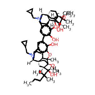 CCCC(C)(C)C(C)(O)[C@H]1C[C@@]23CC[C@]1(OC)[C@@]1(C)Oc4c(O)c(-c5cc6c7c(c5O)O[C@H]5[C@@]8(OC)CC[C@@]9(C[C@@H]8[C@](C)(O)C(C)(C)C)[C@@H](C6)N(CC6CC6)CC[C@]759)cc5c4[C@]21CCN(CC1CC1)[C@@H]3C5